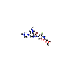 CCn1cc2c(N3CCN(C)CC3)ccc(C(=O)Nc3cc(F)c4nc(COC(C)=O)oc4c3)c2n1